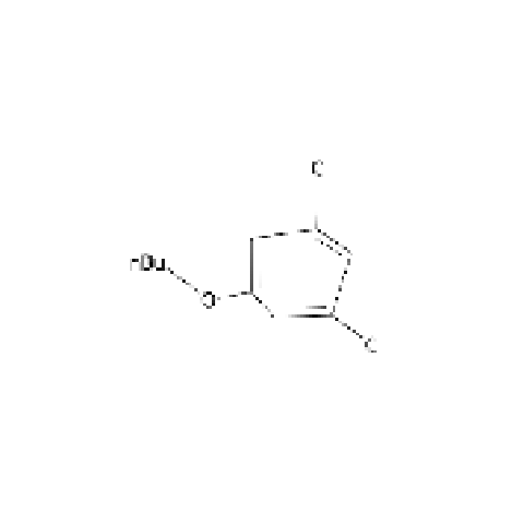 [CH2]CCCOc1cc(Cl)cc(Cl)c1